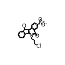 O=C1c2ccccc2-c2c1c1ccc([N+](=O)[O-])cc1c(=O)n2CCCCl